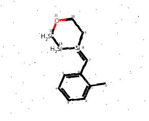 Cc1ccccc1C=[Si]1CCO[SiH2][SiH2]1